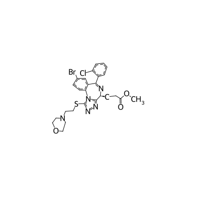 COC(=O)CC[C@@H]1N=C(c2ccccc2Cl)c2cc(Br)ccc2-n2c(SCCN3CCOCC3)nnc21